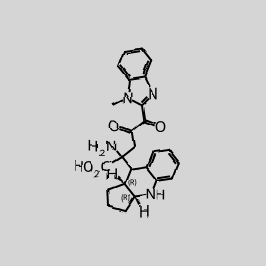 Cn1c(C(=O)C(=O)CC(N)(C(=O)O)C2c3ccccc3N[C@@H]3CCC[C@H]23)nc2ccccc21